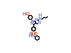 CCCCNc1ncc2c(-c3ccc(S(=O)(=O)NC4CCCCC4)cc3)nn([C@H]3CC[C@@H](O)CC3)c2n1